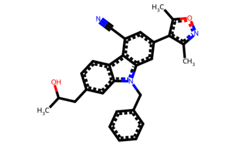 Cc1noc(C)c1-c1cc(C#N)c2c3ccc(CC(C)O)cc3n(Cc3ccccc3)c2c1